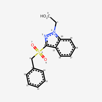 O=C(O)Cn1nc(S(=O)(=O)Cc2ccccc2)c2ccccc21